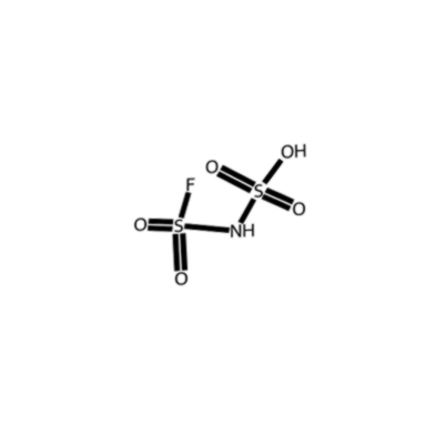 O=S(=O)(O)NS(=O)(=O)F